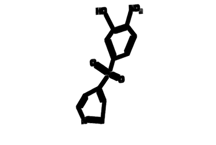 O=[N+]([O-])c1ccc(S(=O)(=O)c2ccncc2)cc1O